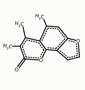 Cc1c(C)c2c(C)cc3occc3c2oc1=O